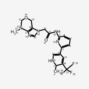 CC1NC=C(c2cccc(NC(=O)Cn3cnc4c3COCN4C)n2)C=C1C(F)(F)F